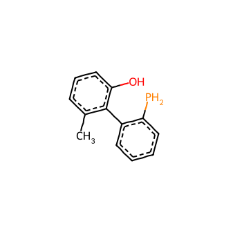 Cc1cccc(O)c1-c1ccccc1P